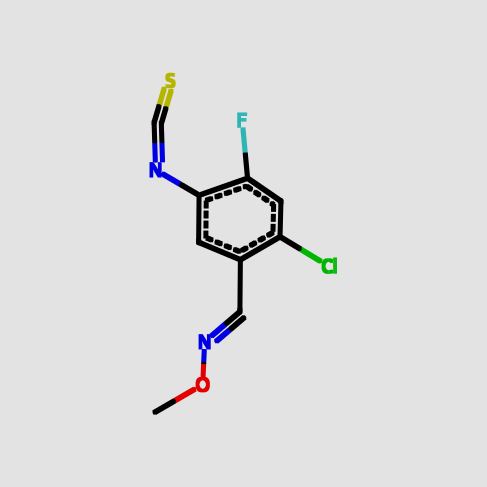 CON=Cc1cc(N=C=S)c(F)cc1Cl